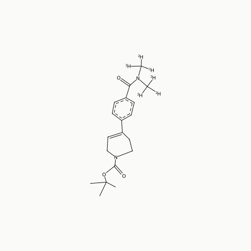 [2H]C([2H])([2H])N(C(=O)c1ccc(C2=CCN(C(=O)OC(C)(C)C)CC2)cc1)C([2H])([2H])[2H]